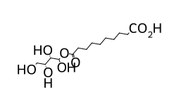 O=C(O)CCCCCCCCC(=O)OC(O)[C@@H](O)[C@H](O)CO